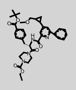 CCOC(=O)N1CCN(C(=O)[C@H](Cc2ccc(C(=O)OC(C)(C)C)cc2)NC(=O)c2cc(C3CC3COC)cc(-c3ccccc3)n2)CC1